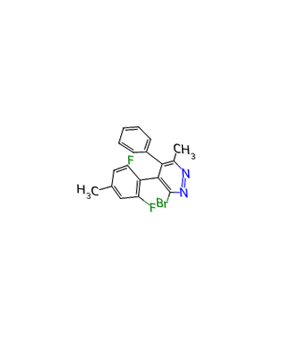 Cc1cc(F)c(-c2c(Br)nnc(C)c2-c2ccccc2)c(F)c1